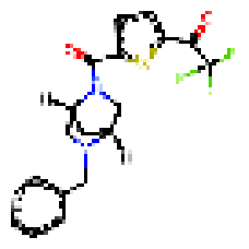 O=C(c1ccc(C(=O)C(F)(F)F)s1)N1C[C@H]2C[C@@H]1CN2Cc1ccccc1